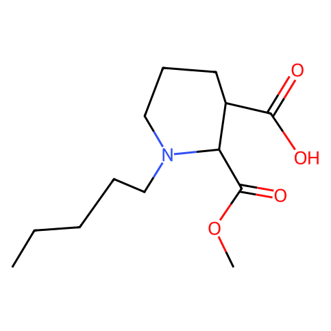 CCCCCN1CCCC(C(=O)O)C1C(=O)OC